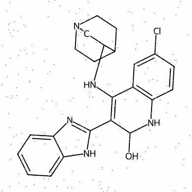 OC1Nc2ccc(Cl)cc2C(NC2CN3CCC2CC3)=C1c1nc2ccccc2[nH]1